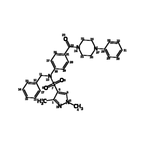 Cc1nn(C)cc1S(=O)(=O)N(Cc1ccccc1)c1ccc(C(=O)N2CCN(c3ccccc3)CC2)cc1